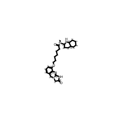 CN(C(=O)CCCCCCOc1cccc2c1N=C1NC(=O)CN1C2)C1CCC2CCCCC2N1